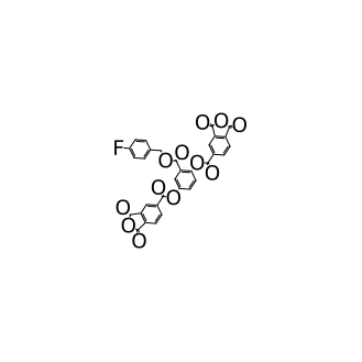 O=C(Oc1ccc(OC(=O)c2ccc3c(c2)C(=O)OC3=O)c(C(=O)OCc2ccc(F)cc2)c1)c1ccc2c(c1)C(=O)OC2=O